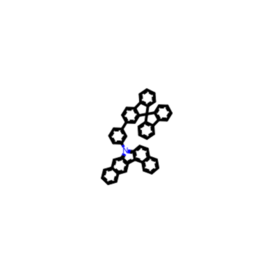 c1cc(-c2ccc3c(c2)C2(c4ccccc4-c4ccccc42)c2ccccc2-3)cc(-n2c3cc4ccccc4cc3c3c4ccccc4ccc32)c1